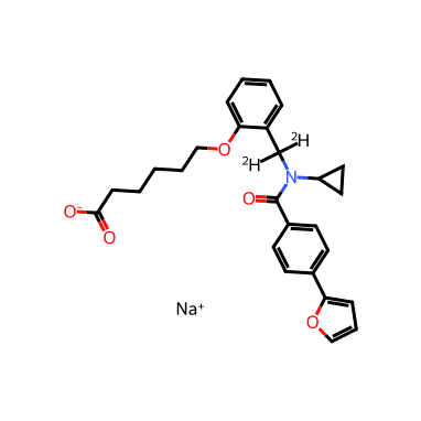 [2H]C([2H])(c1ccccc1OCCCCCC(=O)[O-])N(C(=O)c1ccc(-c2ccco2)cc1)C1CC1.[Na+]